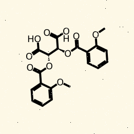 COc1ccccc1C(=O)O[C@H](C(=O)O)[C@H](OC(=O)c1ccccc1OC)C(=O)O